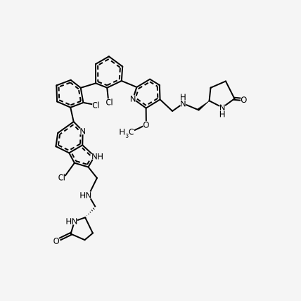 COc1nc(-c2cccc(-c3cccc(-c4ccc5c(Cl)c(CNC[C@@H]6CCC(=O)N6)[nH]c5n4)c3Cl)c2Cl)ccc1CNC[C@H]1CCC(=O)N1